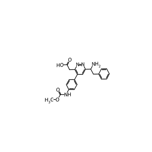 COC(=O)Nc1ccc(-c2cc(C(N)Cc3ccccc3)nnc2CC(=O)O)cc1